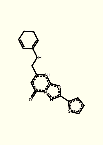 O=c1cc(CNC2=CCCC=C2)[nH]c2nc(-c3cccs3)nn12